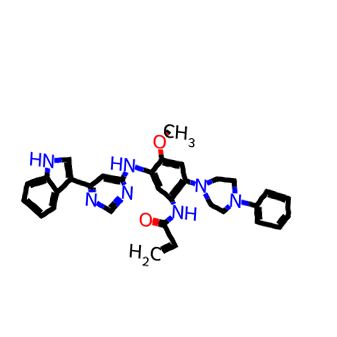 C=CC(=O)Nc1cc(Nc2cc(-c3c[nH]c4ccccc34)ncn2)c(OC)cc1N1CCN(c2ccccc2)CC1